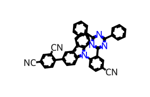 N#Cc1ccc(-c2ccc3c(c2)c2ccccc2n3-c2ccc(C#N)cc2-c2nc(-c3ccccc3)nc(-c3ccccc3)n2)c(C#N)c1